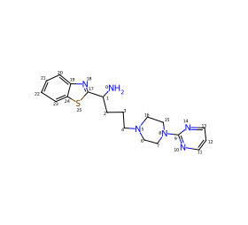 NC(CCCN1CCN(c2ncccn2)CC1)c1nc2ccccc2s1